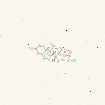 C[C@]12C=CC(=O)C=C1C=C[C@H]1[C@@H]3CC[C@](O)(C(=O)CCl)[C@@]3(C)C[C@H](F)[C@@]12Cl